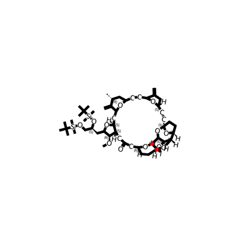 C=C1C[C@@H]2CC[C@]34CC[C@H](O3)[C@@H]3O[C@H]5CC[C@H](CC(=O)C[C@H]6[C@H](CC7OC(CCC1O2)C[C@@H](C)C7=C)OC(C[C@@H](CO[Si](C)(C)C(C)(C)C)O[Si](C)(C)C(C)(C)C)[C@@H]6OC)O[C@@H]5[C@H](O4)[C@@H]3OI